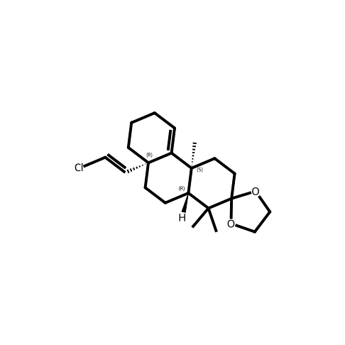 CC1(C)[C@@H]2CC[C@@]3(C=CCl)CCCC=C3[C@@]2(C)CCC12OCCO2